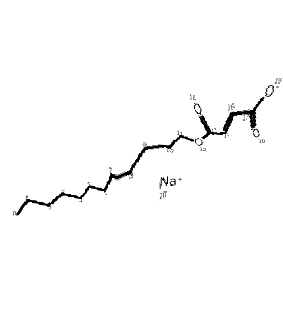 CCCCCCCCCCCCOC(=O)C=CC(=O)[O-].[Na+]